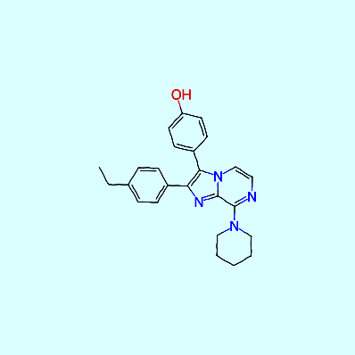 CCc1ccc(-c2nc3c(N4CCCCC4)nccn3c2-c2ccc(O)cc2)cc1